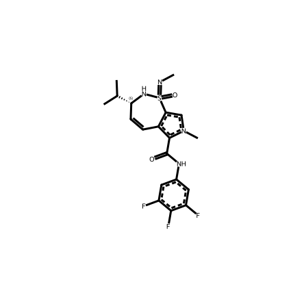 CN=S1(=O)N[C@@H](C(C)C)C=Cc2c1cn(C)c2C(=O)Nc1cc(F)c(F)c(F)c1